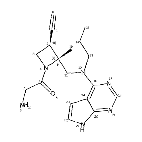 C#C[C@@H]1CN(C(=O)CN)[C@@]1(C)CN(CCC)c1ncnc2[nH]ccc12